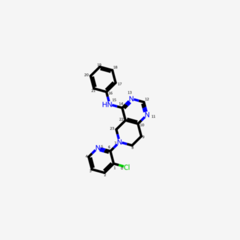 Clc1cccnc1N1CCc2ncnc(Nc3ccccc3)c2C1